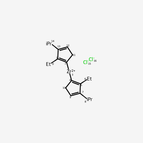 CCC1=[C]([Zr+2][C]2=C(CC)C(C(C)C)=CC2)CC=C1C(C)C.[Cl-].[Cl-]